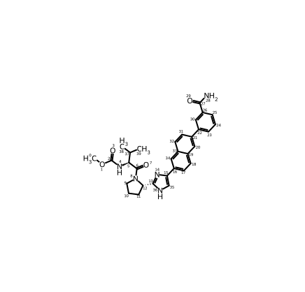 COC(=O)N[C@H](C(=O)N1CCC[C@H]1c1nc(-c2ccc3cc(-c4cccc(C(N)=O)c4)ccc3c2)c[nH]1)C(C)C